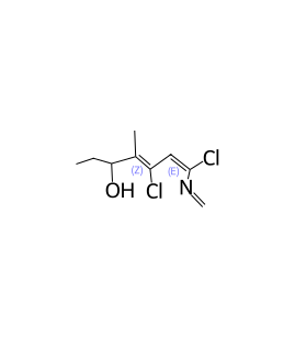 C=N/C(Cl)=C\C(Cl)=C(/C)C(O)CC